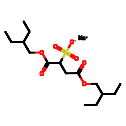 CCC(CC)COC(=O)CC(C(=O)OCC(CC)CC)S(=O)(=O)[O-].[Na+]